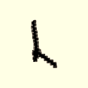 CCCCCCCCCCCCCCCCC[n+]1ccn(CCC)c1CCCCCCCCCCCC